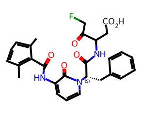 Cc1cccc(C)c1C(=O)Nc1cccn([C@@H](Cc2ccccc2)C(=O)NC(CC(=O)O)C(=O)CF)c1=O